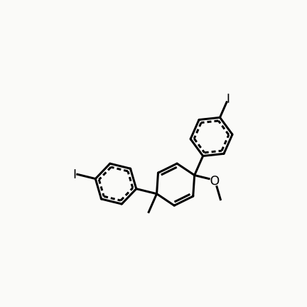 COC1(c2ccc(I)cc2)C=CC(C)(c2ccc(I)cc2)C=C1